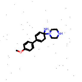 COc1ccc(C2=CCC(N)(N3CCNCC3)C=C2)cc1